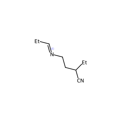 CC/C=N/CCC(C#N)CC